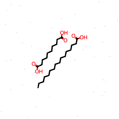 CCCCCCCCCCCCCCCC(=O)O.O=C(O)CCCCCCCCC(=O)O